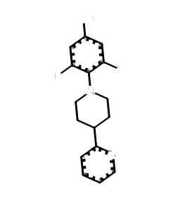 Cc1cc(F)c(N2CCC(c3ccccn3)CC2)c(F)c1